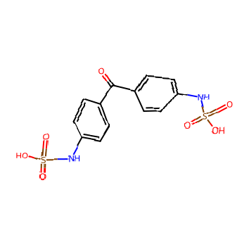 O=C(c1ccc(NS(=O)(=O)O)cc1)c1ccc(NS(=O)(=O)O)cc1